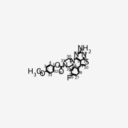 COc1ccc(OC(=O)N2CCN(c3nc(N)nc4scc(-c5ccc(F)cc5)c34)CC2)cc1